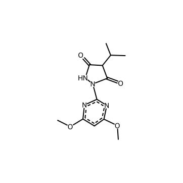 COc1cc(OC)nc(N2NC(=O)C(C(C)C)C2=O)n1